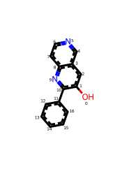 Oc1cc2cnccc2nc1-c1ccccc1